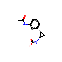 CC(=O)Nc1cccc([C@@H]2C[C@H]2NC(=O)O)c1